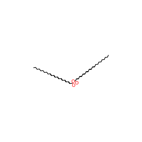 CCCCCCCCCC=CC=CC=CC=CC=CC=CC(=O)OC(=O)C=CC=CC=CC=CC=CC=CCCCCCCCCC